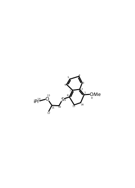 COC1=c2ccccc2=C(SCC(C)OC(C)C)CC1